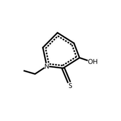 CCn1cccc(O)c1=S